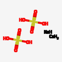 O=S(=O)(O)O.O=S(=O)(O)O.[CaH2].[NaH]